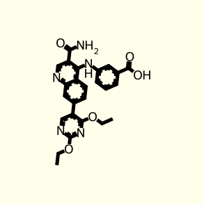 CCOc1ncc(-c2ccc3c(Nc4cccc(C(=O)O)c4)c(C(N)=O)cnc3c2)c(OCC)n1